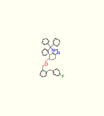 Fc1ccc(Cc2ccccc2COCC2CCc3ncn(C(c4ccccc4)(c4ccccc4)c4ccccc4)c3C2)cc1